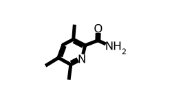 Cc1cc(C)c(C(N)=O)nc1C